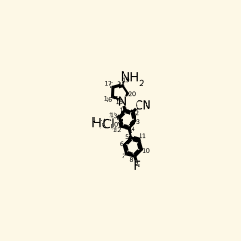 Cl.N#Cc1cc(-c2ccc(F)cc2)ccc1N1CC[C@H](N)C1